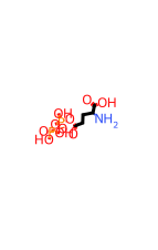 N[C@@H](CCC(=O)OP(=O)(O)OP(=O)(O)O)C(=O)O